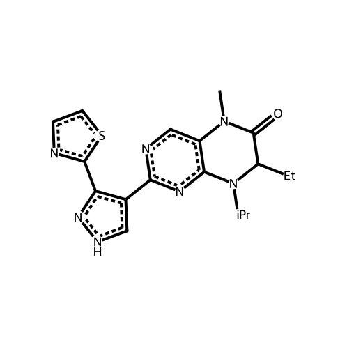 CCC1C(=O)N(C)c2cnc(-c3c[nH]nc3-c3nccs3)nc2N1C(C)C